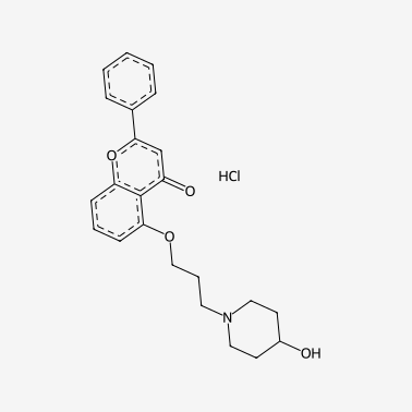 Cl.O=c1cc(-c2ccccc2)oc2cccc(OCCCN3CCC(O)CC3)c12